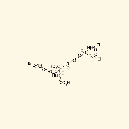 O=C(O)CCC(NC(=O)COCCOCCNC(=O)CBr)C(=O)NC(CCC(=O)NCCOCCOCC(=O)N(CCNC(=O)CCl)CCNC(=O)CCl)C(=O)O